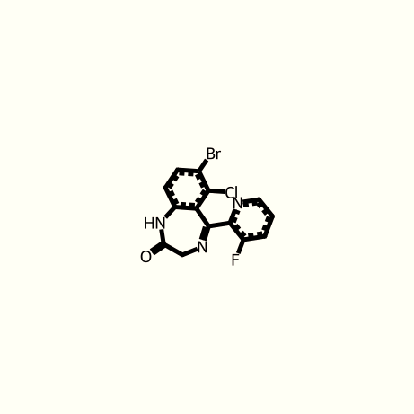 O=C1CN=C(c2ncccc2F)c2c(ccc(Br)c2Cl)N1